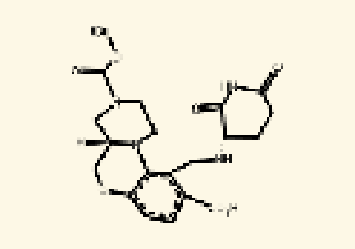 CC(C)(C)OC(=O)N1CCN2c3c(ccc(C(=O)O)c3CN[C@H]3CCC(=O)NC3=O)OC[C@@H]2C1